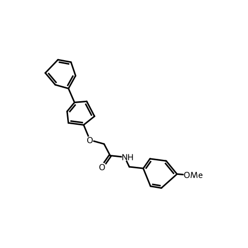 COc1ccc(CNC(=O)COc2ccc(-c3ccccc3)cc2)cc1